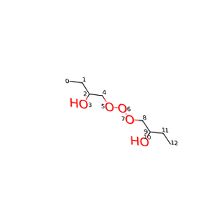 CCC(O)COOOCC(O)CC